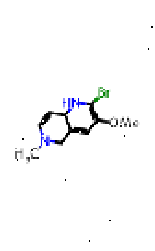 COC1=C(Br)NC2C=CN(C)CC2=C1